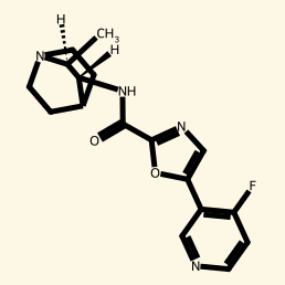 C[C@H]1[C@H](NC(=O)c2ncc(-c3cnccc3F)o2)C2CCN1CC2